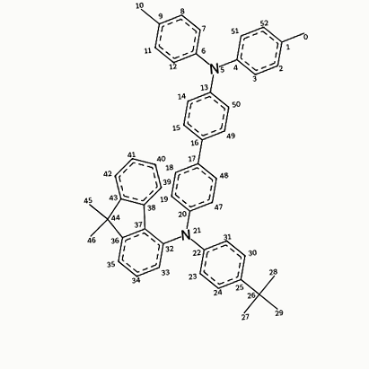 Cc1ccc(N(c2ccc(C)cc2)c2ccc(-c3ccc(N(c4ccc(C(C)(C)C)cc4)c4cccc5c4-c4ccccc4C5(C)C)cc3)cc2)cc1